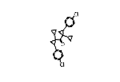 O=C(C1(C2CC2)CC1c1ccc(Cl)cc1)C1(C2CC2)CC1c1ccc(Cl)cc1